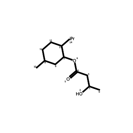 CC(O)CC(=O)OC1CC(C)CCC1C(C)C